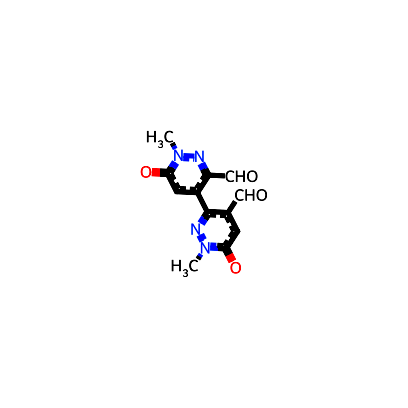 Cn1nc(C=O)c(-c2nn(C)c(=O)cc2C=O)cc1=O